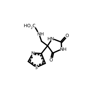 O=C(O)NCC1(c2cscn2)NC(=O)NC1=O